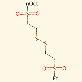 CCCCCCCCS(=O)(=O)CCSSCCS(=O)(=O)CC